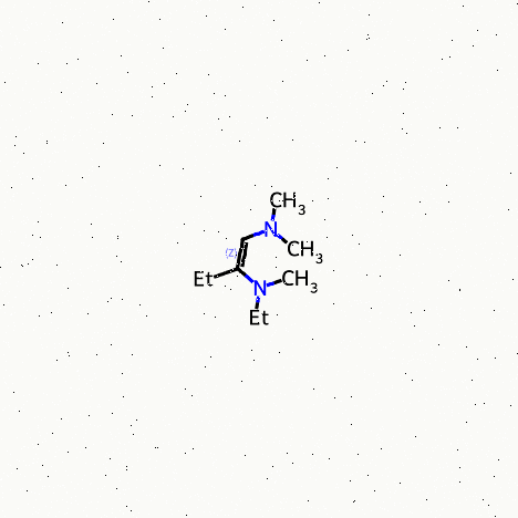 CC/C(=C/N(C)C)N(C)CC